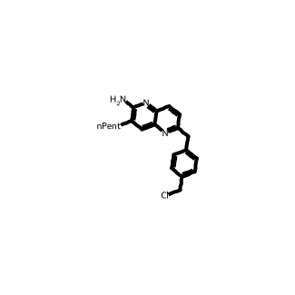 CCCCCc1cc2nc(Cc3ccc(CCl)cc3)ccc2nc1N